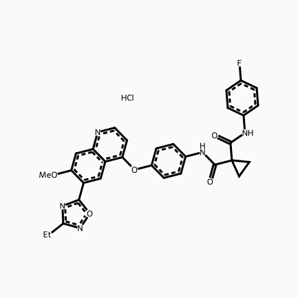 CCc1noc(-c2cc3c(Oc4ccc(NC(=O)C5(C(=O)Nc6ccc(F)cc6)CC5)cc4)ccnc3cc2OC)n1.Cl